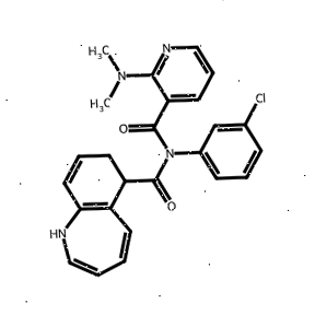 CN(C)c1ncccc1C(=O)N(C(=O)C1CC=CC2=C1C=CC=CN2)c1cccc(Cl)c1